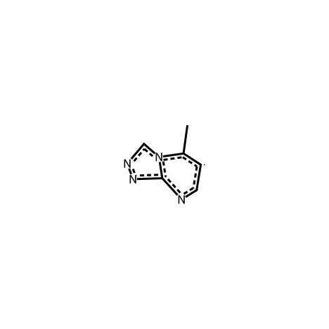 Cc1[c]cnc2nncn12